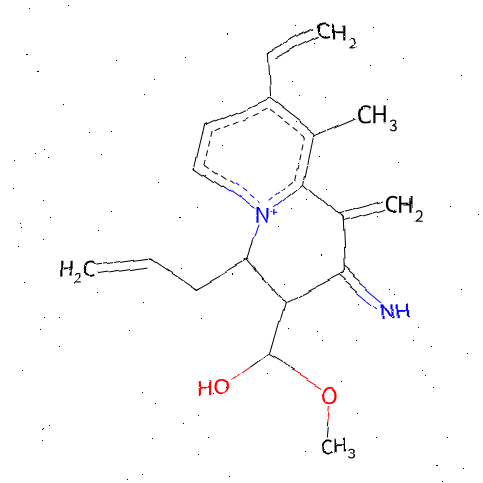 C=CCC1C(C(O)OC)C(=N)C(=C)c2c(C)c(C=C)cc[n+]21